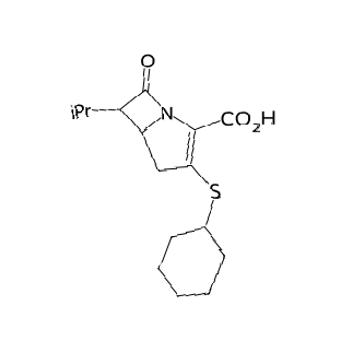 CC(C)C1C(=O)N2C(C(=O)O)=C(SC3CCCCC3)CC12